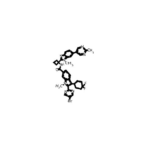 Cc1ncc(-c2ccc3nc(C4(NC(=O)c5ccc6c(C7CCC(F)(F)CC7)c(-c7ncc(Br)cn7)n(C)c6c5)CCC4)n(C)c3c2)cn1